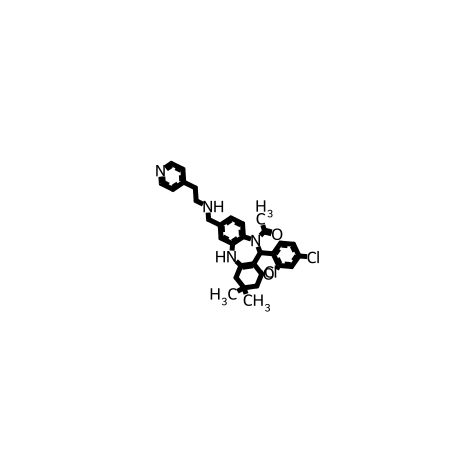 CC(=O)N1c2ccc(CNCCc3ccncc3)cc2NC2=C(C(=O)CC(C)(C)C2)C1c1ccc(Cl)cc1Cl